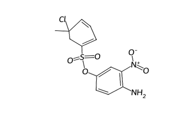 CC1(Cl)C=CC=C(S(=O)(=O)Oc2ccc(N)c([N+](=O)[O-])c2)C1